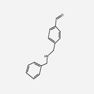 O=Cc1ccc(CNCc2ccccc2)cc1